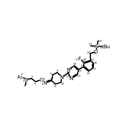 CC(=O)N(C)CCON=C1CCN(c2ncc(-c3cccc(CO[Si](C)(C)C(C)(C)C)c3F)cn2)CC1